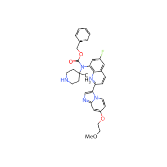 COCCOc1ccn2c(-c3ccc4cc(F)cc(N(C(=O)OCc5ccccc5)C5(C)CCNCC5)c4n3)cnc2c1